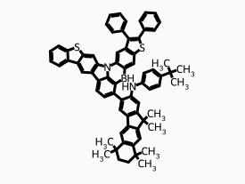 CC(C)(C)c1ccc(Nc2cc3c(cc2-c2ccc4c5cc6c(cc5n5c4c2Bc2cc4sc(-c7ccccc7)c(-c7ccccc7)c4cc2-5)sc2ccccc26)-c2cc4c(cc2C3(C)C)C(C)(C)CCC4(C)C)cc1